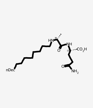 CCCCCCCCCCCCCCCCCCN[C@H](C)C(=O)N[C@@H](CCC(N)=O)C(=O)O